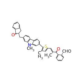 C/C(=C\c1cc(C)c(-c2ccc3c4ccc(CC5Cc6ccccc6C5=O)cc4n(C)c3c2)s1)C(=O)c1ccccc1C=O